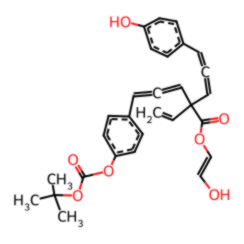 C=CC(C=C=Cc1ccc(O)cc1)(C=C=Cc1ccc(OC(=O)OC(C)(C)C)cc1)C(=O)OC=CO